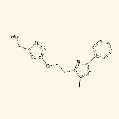 Cc1oc(-c2ccccc2)nc1CCOc1cc(CO)on1